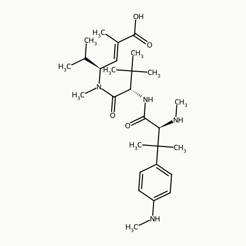 CNc1ccc(C(C)(C)[C@H](NC)C(=O)N[C@H](C(=O)N(C)[C@H](/C=C(\C)C(=O)O)C(C)C)C(C)(C)C)cc1